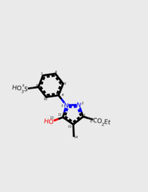 CCOC(=O)c1nn(-c2cccc(S(=O)(=O)O)c2)c(O)c1C